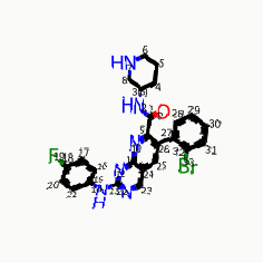 O=C(N[C@H]1CCCNC1)c1nc2nc(Nc3ccc(F)cc3)ncc2cc1-c1ccccc1Br